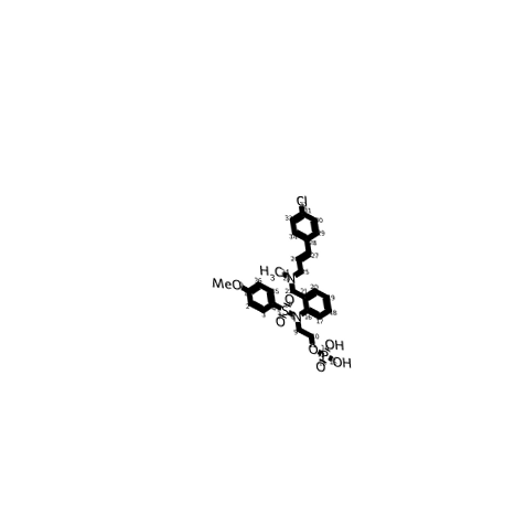 COc1ccc(S(=O)(=O)N(CCOP(=O)(O)O)c2ccccc2CN(C)CC=Cc2ccc(Cl)cc2)cc1